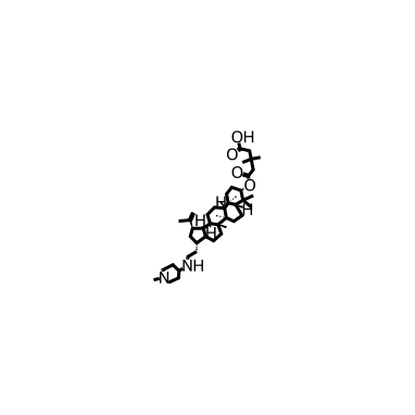 C=C(C)[C@@H]1C[C@@H](CCNC2CCN(C)CC2)C2CC[C@]3(C)[C@H](CC[C@@H]4[C@@]5(C)CC[C@H](OC(=O)CC(C)(C)CC(=O)O)C(C)(C)[C@@H]5CC[C@]43C)[C@H]21